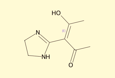 CC(=O)/C(C1=NCCN1)=C(\C)O